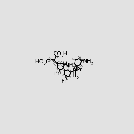 CC(C)C1CCCC(N)C1.CC(C)C1CCCC(N)C1.CC(C)C1CCCC(N)C1.O=C(O)CC(CC(=O)O)C(=O)O